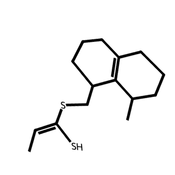 CC=C(S)SCC1CCCC2=C1C(C)CCC2